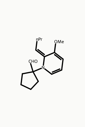 CCC/C=C1\C(OC)=CC=CN1C1(C=O)CCCC1